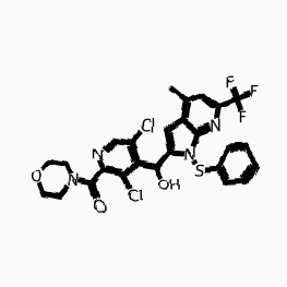 Cc1cc(C(F)(F)F)nc2c1cc(C(O)c1c(Cl)cnc(C(=O)N3CCOCC3)c1Cl)n2Sc1ccccc1